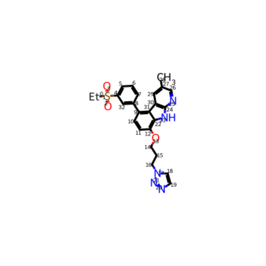 CCS(=O)(=O)c1cccc(-c2ccc(OCCCn3ccnn3)c3[nH]c4ncc(C)cc4c23)c1